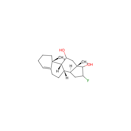 C[C@]12CCCC=C1CC[C@@H]1[C@H]2C(O)C[C@]2(C)C(O)C(F)C[C@@H]12